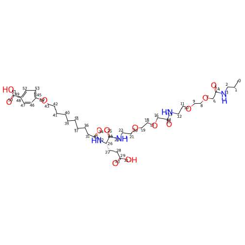 CCCNC(=O)COCCOCCNC(=O)COCCOCCNC(=O)[C@H](CCC(=O)O)NC(=O)CCCCCCCCCOc1ccc(C(=O)O)cc1